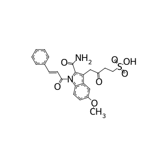 COc1ccc2c(c1)c(CC(=O)CCS(=O)(=O)O)c(C(N)=O)n2C(=O)/C=C/c1ccccc1